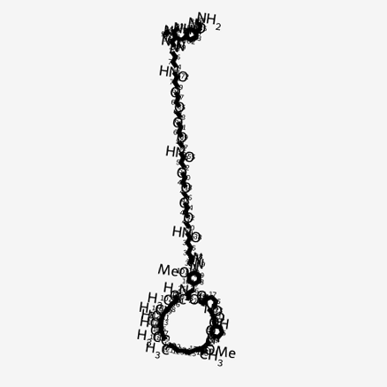 CO[C@H]1C[C@@H]2CCC[C@@](O)(O2)C(=O)C(=O)N2CCCC[C@H]2C(=O)O[C@H]([C@H](N)C[C@@H]2CC[C@H](n3cc(CCCC(=O)NCCOCCOCCOCCOCCC(=O)NCCOCCOCCOCCOCCC(=O)NCCCCn4nc(-c5ccc6oc(N)nc6c5)c5c(N)ncnc54)nn3)[C@H](OC)C2)CC(=O)[C@H](C)/C=C(\C)[C@@H](O)[C@@H](O)C(=O)[C@H](C)C[C@H](C)/C=C/C=C/C=C/1C